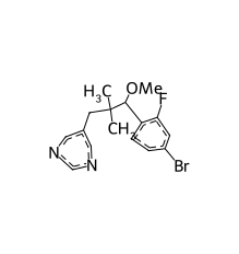 COC(c1ccc(Br)cc1F)C(C)(C)Cc1cncnc1